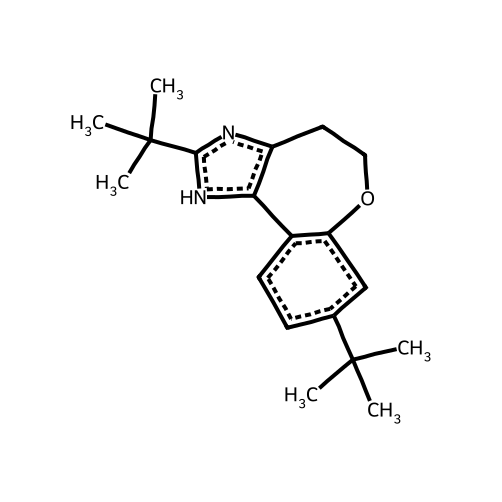 CC(C)(C)c1ccc2c(c1)OCCc1nc(C(C)(C)C)[nH]c1-2